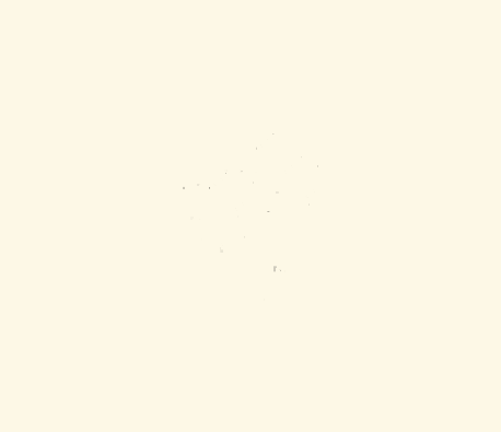 CCNCCOc1ccc2ccccc2c1Cc1c(O)ccc2ccccc12.Cl